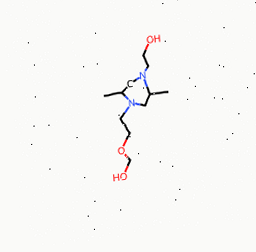 CC1CN(CCOCO)C(C)CN1CCO